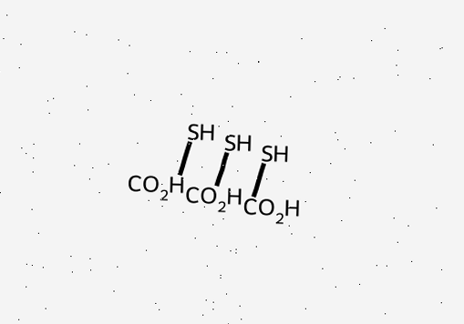 O=C(O)S.O=C(O)S.O=C(O)S